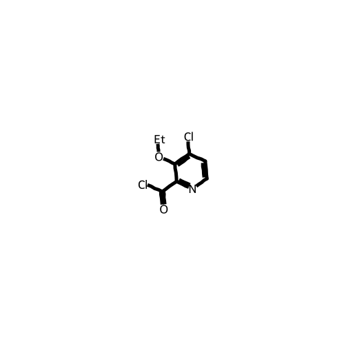 CCOc1c(Cl)ccnc1C(=O)Cl